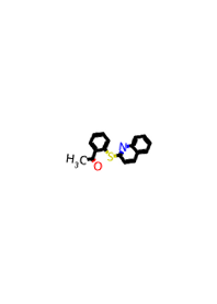 CC(=O)c1ccccc1Sc1ccc2ccccc2n1